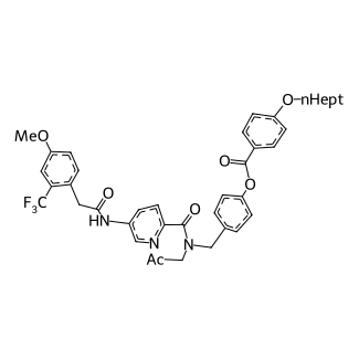 CCCCCCCOc1ccc(C(=O)Oc2ccc(CN(CC(C)=O)C(=O)c3ccc(NC(=O)Cc4ccc(OC)cc4C(F)(F)F)cn3)cc2)cc1